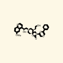 COc1ccc2nccc([C@@H](O)CN3CC[C@@]4(CN(C5=COC=C(C6=CC=CCC6)O5)C(=O)O4)[C@H](CCO)C3)c2c1